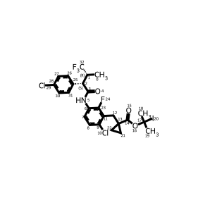 C[C@H]([C@H](C(=O)Nc1ccc(Cl)c(CC2(C(=O)OC(C)(C)I)CC2)c1F)c1ccc(Cl)cc1)C(F)(F)F